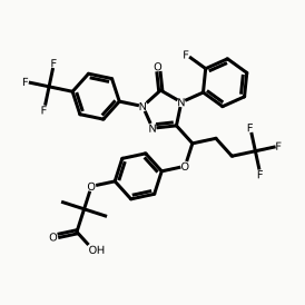 CC(C)(Oc1ccc(OC(CCC(F)(F)F)c2nn(-c3ccc(C(F)(F)F)cc3)c(=O)n2-c2ccccc2F)cc1)C(=O)O